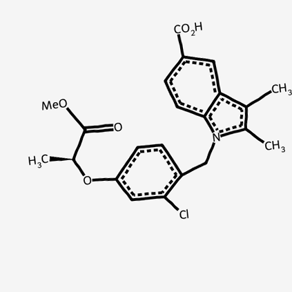 COC(=O)[C@H](C)Oc1ccc(Cn2c(C)c(C)c3cc(C(=O)O)ccc32)c(Cl)c1